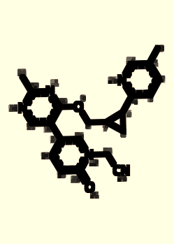 Cc1ccc(C2CC2COc2nc(C)ncc2-c2ccc(=O)n(CC#N)c2)nc1